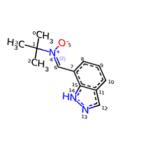 CC(C)(C)/[N+]([O-])=C/c1cccc2cn[nH]c12